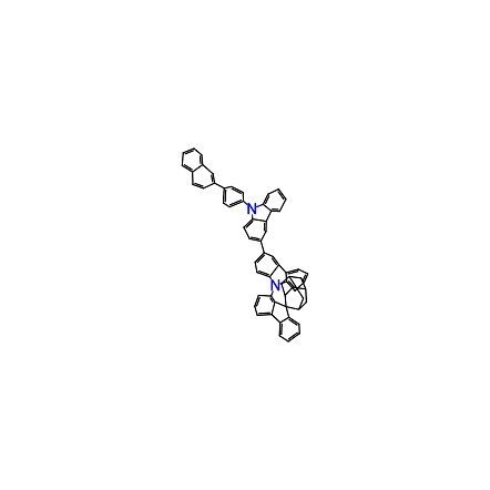 c1ccc2c(c1)-c1cccc(-n3c4ccccc4c4cc(-c5ccc6c(c5)c5ccccc5n6-c5ccc(-c6ccc7ccccc7c6)cc5)ccc43)c1C21C2CC3CC(C2)CC1C3